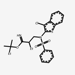 CCC(CN(c1sc2ccccc2c1Cl)S(=O)(=O)c1ccccc1)C(=N)OC(C)(C)CC